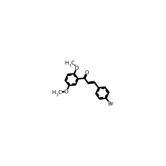 COc1ccc(OC)c(C(=O)/C=C/c2ccc(Br)cc2)c1